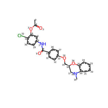 CC(=O)Oc1cc(NC(=O)c2ccc(OC[C@@H]3CN(C)c4ccccc4O3)cc2)ccc1Cl